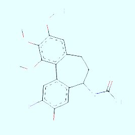 COc1cc2c(c(OC)c1OC)-c1cc(I)c(O)cc1C(NC(C)=O)CC2